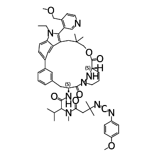 CCn1c(-c2cnccc2COC)c2c3cc(ccc31)-c1cccc(c1)C[C@H](NC(=O)C(C(C)C)N(C)C(=O)CC(C)(C)N=C=Nc1ccc(OC)cc1)C(=O)N1CCC[C@H](N1)C(=O)OCC(C)(C)C2